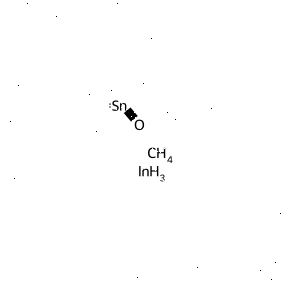 C.[InH3].[O]=[Sn]